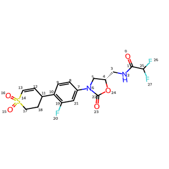 O=C(NC[C@H]1CN(c2ccc(C3C=CS(=O)(=O)CC3)c(F)c2)C(=O)O1)C(F)F